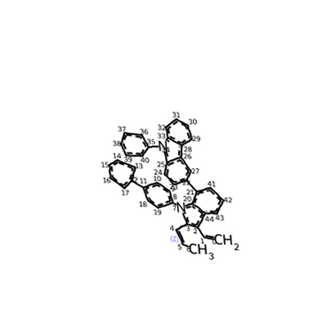 C=Cc1c(/C=C\C)n(-c2ccc(-c3ccccc3)cc2)c2c(-c3ccc4c(c3)c3ccccc3n4-c3ccccc3)cccc12